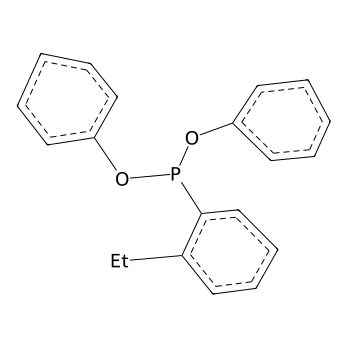 CCc1ccccc1P(Oc1ccccc1)Oc1ccccc1